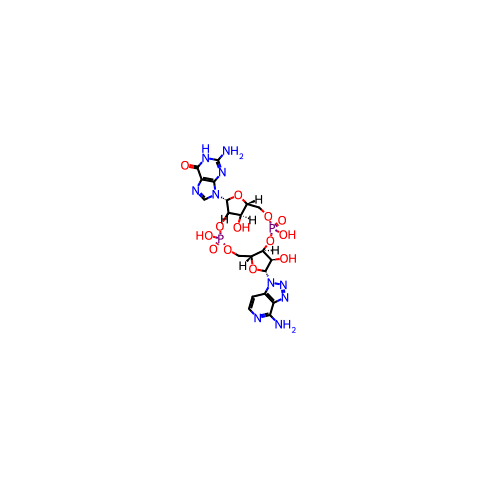 Nc1nc2c(ncn2[C@@H]2O[C@@H]3COP(=O)(O)O[C@H]4[C@@H](O)[C@H](n5nnc6c(N)nccc65)O[C@@H]4COP(=O)(O)O[C@@H]2[C@@H]3O)c(=O)[nH]1